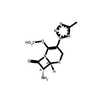 Cc1nnn(C2=C(OC(=O)O)N3C(=O)[C@@H](N)[C@H]3SC2)n1